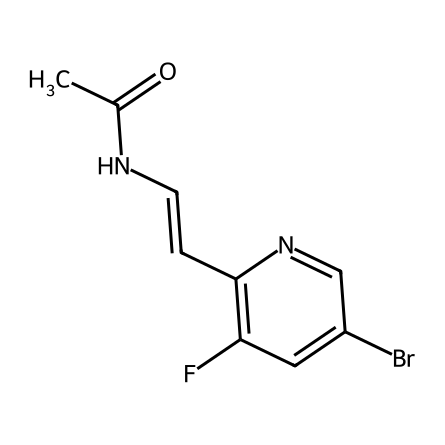 CC(=O)NC=Cc1ncc(Br)cc1F